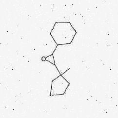 CC1(C2OC2C2CCCCC2)CCCC1